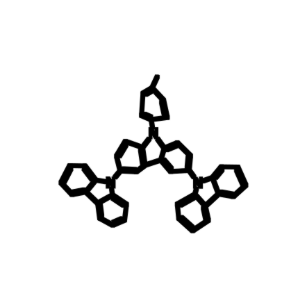 Cc1ccc(-n2c3ccc(-n4c5ccccc5c5ccccc54)cc3c3cc(-n4c5ccccc5c5ccccc54)ccc32)cc1